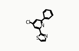 Clc1cc(-c2ccccc2)nc(-c2nccs2)c1